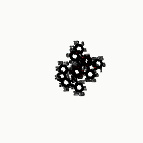 c1ccc(-c2nc(-c3ccccc3)nc(-c3cc(-c4cccc5sc6ccc7c8ccccc8n(-c8ccccc8)c7c6c45)ccc3-c3cccc4sc5ccc6c7ccccc7n(-c7ccccc7)c6c5c34)n2)cc1